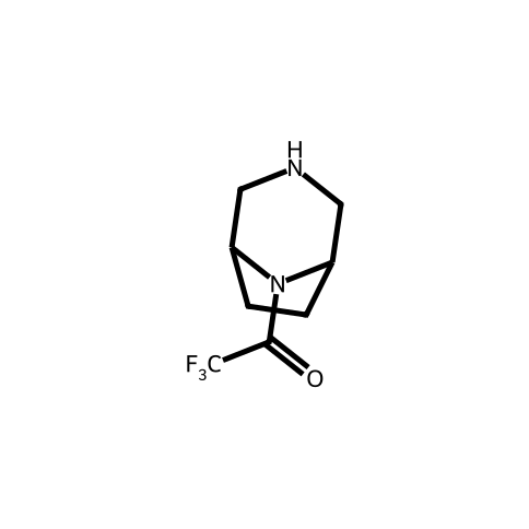 O=C(N1C2CCC1CNC2)C(F)(F)F